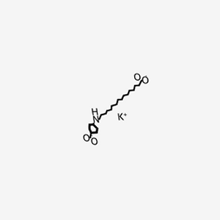 COC(=O)CCCCCCCCCCCCCCCNc1ccc(C(=O)[O-])cc1.[K+]